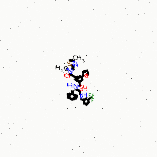 Cc1csc(CN(C)C(=O)c2cc(C(=O)N[C@@H](Cc3ccccc3)[C@H](O)CNCc3cccc(C(F)(F)F)c3)cc(-c3ccco3)c2)n1